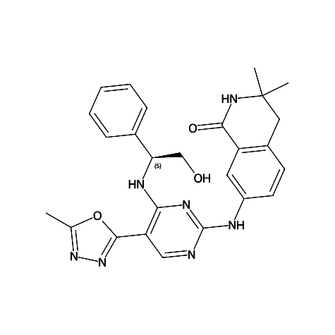 Cc1nnc(-c2cnc(Nc3ccc4c(c3)C(=O)NC(C)(C)C4)nc2N[C@H](CO)c2ccccc2)o1